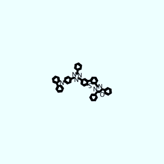 c1ccc(-c2nc(-c3ccc(-n4c5ccccc5c5ccccc54)cc3)nc(-c3ccc4sc5c(-c6nc(-c7ccccc7)c7oc8ccccc8c7n6)cccc5c4c3)n2)cc1